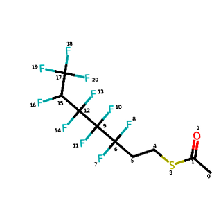 CC(=O)SCCC(F)(F)C(F)(F)C(F)(F)C(F)C(F)(F)F